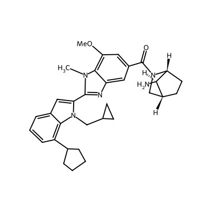 COc1cc(C(=O)N2C[C@H]3CC[C@@H]2[C@@H]3N)cc2nc(-c3cc4cccc(C5CCCC5)c4n3CC3CC3)n(C)c12